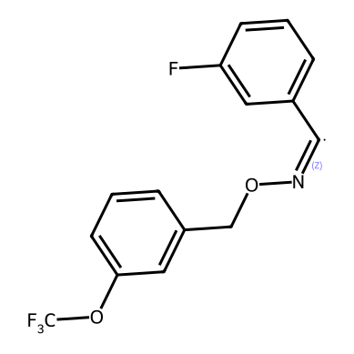 Fc1cccc(/[C]=N\OCc2cccc(OC(F)(F)F)c2)c1